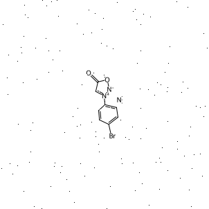 O=c1c[n+](-c2ccc(Br)cc2)[n-]o1.[N]